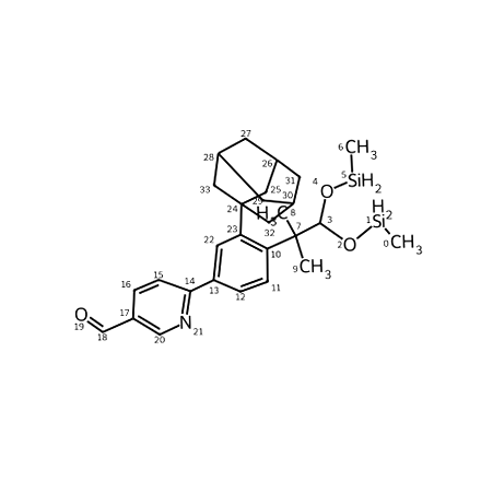 C[SiH2]OC(O[SiH2]C)C(C)(C)c1ccc(-c2ccc(C=O)cn2)cc1C12CC3CC(CC(C3)C1)C2